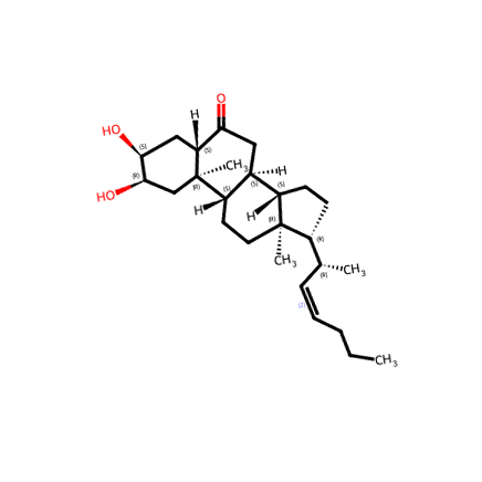 CCC/C=C\[C@@H](C)[C@H]1CC[C@H]2[C@@H]3CC(=O)[C@H]4C[C@H](O)[C@H](O)C[C@]4(C)[C@H]3CC[C@]12C